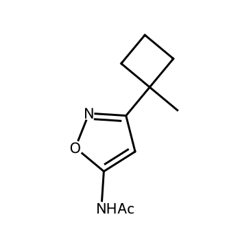 CC(=O)Nc1cc(C2(C)CCC2)no1